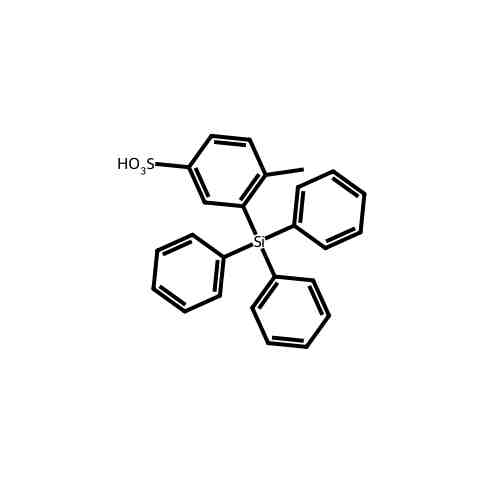 Cc1ccc(S(=O)(=O)O)cc1[Si](c1ccccc1)(c1ccccc1)c1ccccc1